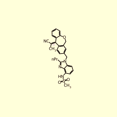 CCCc1nc2c(NS(C)(=O)=O)cccc2n1Cc1ccc2c(c1)COc1ccccc1/C2=C(/C)C#N